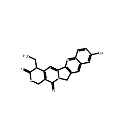 CCC1C(=O)OCc2c1cc1n(c2=O)Cc2cc3cc(O)ccc3nc2-1